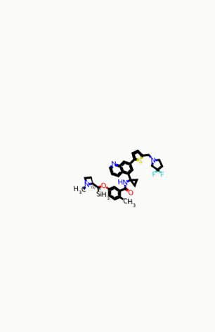 Cc1ccc(O[C@@H]([SiH3])[C@@H]2CCN2C)cc1C(=O)NC1(c2cc(-c3ccc(CN4CCC(F)(F)C4)s3)cc3ncccc23)CC1